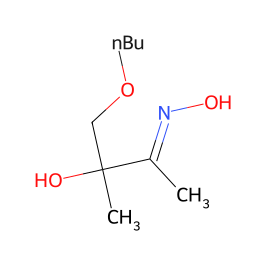 CCCCOCC(C)(O)C(C)=NO